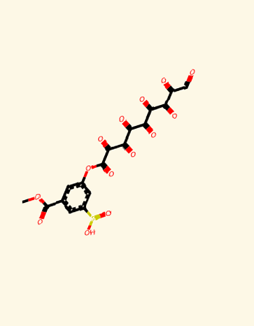 COC(=O)c1cc(OC(=O)C(=O)C(=O)C(=O)C(=O)C(=O)C(=O)C(=O)C=O)cc(S(=O)O)c1